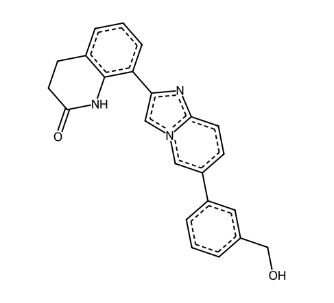 O=C1CCc2cccc(-c3cn4cc(-c5cccc(CO)c5)ccc4n3)c2N1